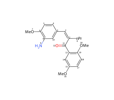 CCCC(=Cc1ccc(OC)c(N)c1)C(=O)c1cc(OC)ccc1OC